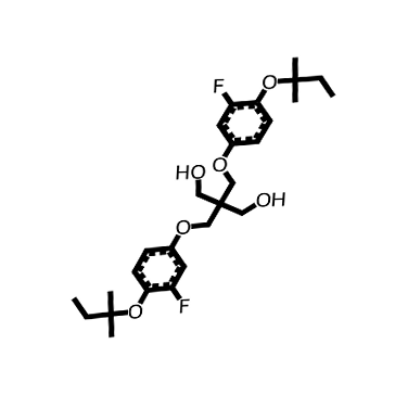 CCC(C)(C)Oc1ccc(OCC(CO)(CO)COc2ccc(OC(C)(C)CC)c(F)c2)cc1F